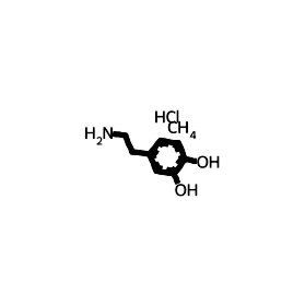 C.Cl.NCCc1ccc(O)c(O)c1